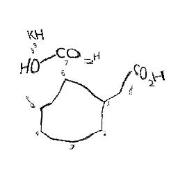 O=C(O)C1CCCCC1.O=C(O)O.[KH]